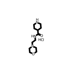 Cl.O=C(NCCN1CCOCC1)C1CCNCC1